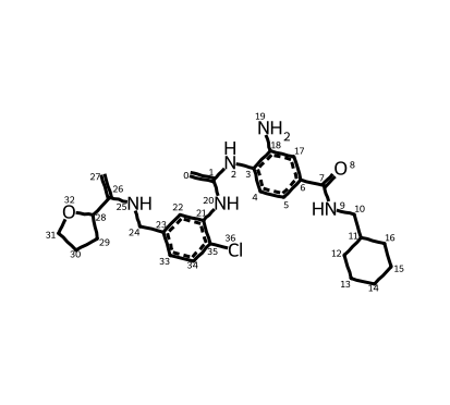 C=C(Nc1ccc(C(=O)NCC2CCCCC2)cc1N)Nc1cc(CNC(=C)C2CCCO2)ccc1Cl